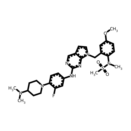 COc1ccc(N(C)S(C)(=O)=O)c(Cn2ccc3cnc(Nc4ccc(N5CCC(N(C)C)CC5)c(F)c4)nc32)c1